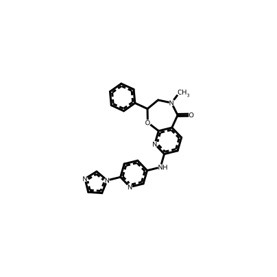 CN1CC(c2ccccc2)Oc2nc(Nc3ccc(-n4ccnc4)nc3)ccc2C1=O